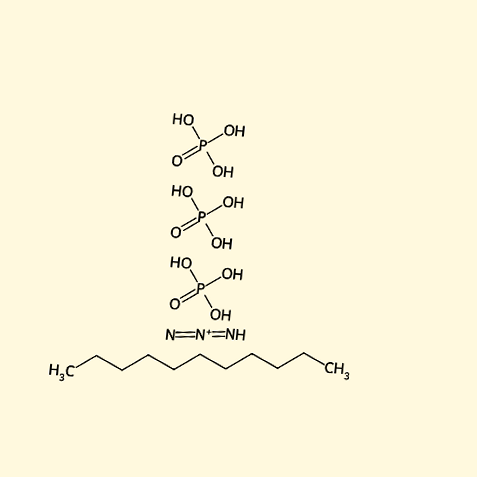 CCCCCCCCCCC.O=P(O)(O)O.O=P(O)(O)O.O=P(O)(O)O.[N-]=[N+]=N